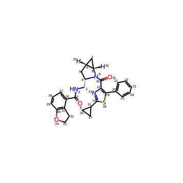 O=C(NC[C@@H]1C[C@@H]2C[C@@H]2N1C(=O)c1nc(C2CC2)sc1-c1ccccc1)c1cccc2c1CCO2